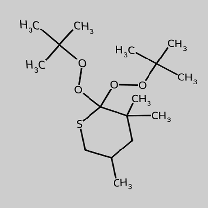 CC1CSC(OOC(C)(C)C)(OOC(C)(C)C)C(C)(C)C1